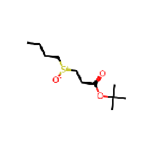 CCCC[S+]([O-])CCC(=O)OC(C)(C)C